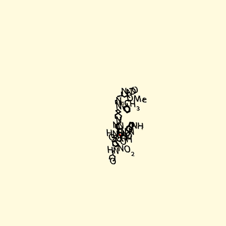 COc1cc(CN2CCN(C3CC4(CCN(c5ncc(C(=O)NS(=O)(=O)c6ccc(NCC7CCOCC7)c([N+](=O)[O-])c6)c(N6c7cc8cc[nH]c8nc7O[C@H]7COCC[C@@H]76)n5)CC4)C3)[C@H](c3ccccc3C)C2)cnc1N1CCOCC1